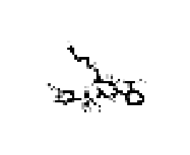 CC(C)c1ccccc1-c1cc(OCCCC#N)nc(NS(=O)(=O)c2cnn(C)c2)n1